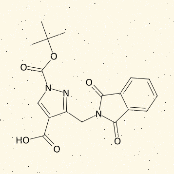 CC(C)(C)OC(=O)n1cc(C(=O)O)c(CN2C(=O)c3ccccc3C2=O)n1